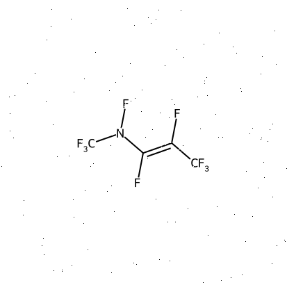 F/C(=C(/F)C(F)(F)F)N(F)C(F)(F)F